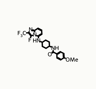 COc1ccc(C(=O)NC2CCC(Nc3cccc4nc(C(F)(F)F)c(F)n34)CC2)cc1